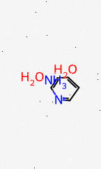 N.O.O.c1ccncc1